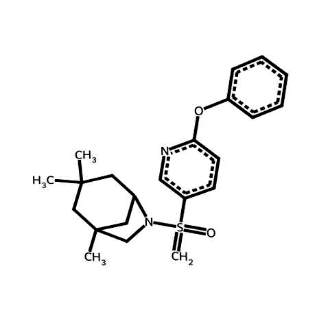 C=S(=O)(c1ccc(Oc2ccccc2)nc1)N1CC2(C)CC1CC(C)(C)C2